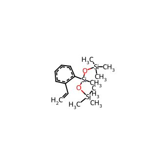 C=Cc1ccccc1[Si](C)(O[Si](C)(C)C)O[Si](C)(C)C